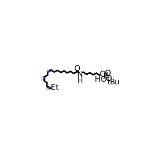 CC/C=C\C/C=C\C/C=C\CCCCCCCC(=O)NCCCCCCOP(=O)(O)OC(C)(C)C